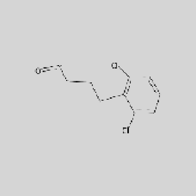 O=[C]CCCc1c(Cl)cccc1Cl